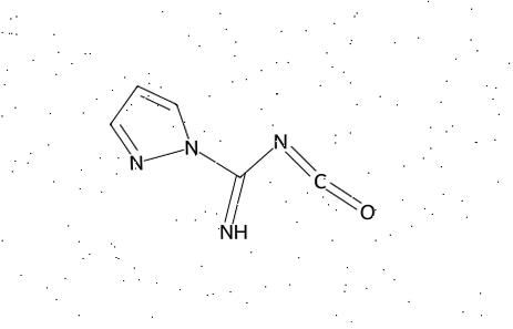 N=C(N=C=O)n1cccn1